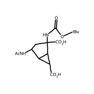 CC(=O)NC1CC(NC(=O)OC(C)(C)C)(C(=O)O)C2C(C(=O)O)C12